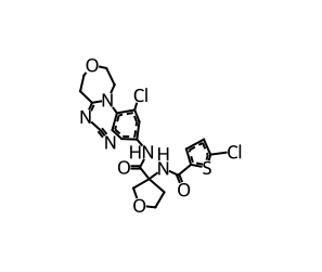 N#CN=C1CCOCCN1c1ccc(NC(=O)C2(NC(=O)c3ccc(Cl)s3)CCOC2)cc1Cl